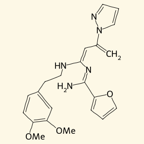 C=C(/C=C(\N=C(/N)c1ccco1)NCCc1ccc(OC)c(OC)c1)n1cccn1